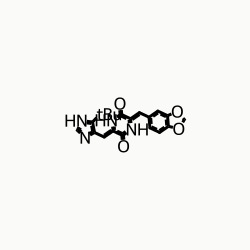 CC(C)(C)c1[nH]cnc1/C=c1\[nH]c(=O)/c(=C/c2ccc3c(c2)OCO3)[nH]c1=O